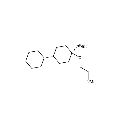 CCCCC[C@]1(OCCOC)CC[C@H](C2CCCCC2)CC1